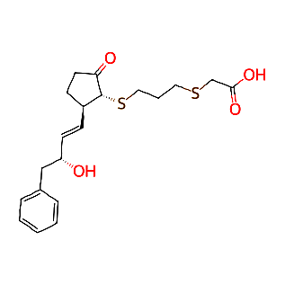 O=C(O)CSCCCS[C@H]1C(=O)CC[C@@H]1/C=C/[C@H](O)Cc1ccccc1